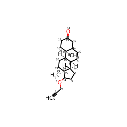 C#CCOC1CC[C@H]2[C@@H]3CCC4CC(=O)CC[C@]4(C)[C@@H]3CC[C@]12C